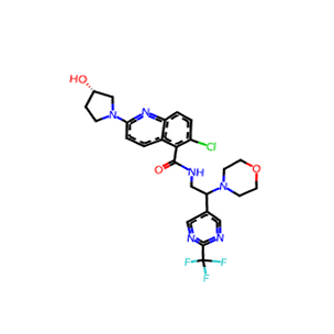 O=C(NCC(c1cnc(C(F)(F)F)nc1)N1CCOCC1)c1c(Cl)ccc2nc(N3CC[C@H](O)C3)ccc12